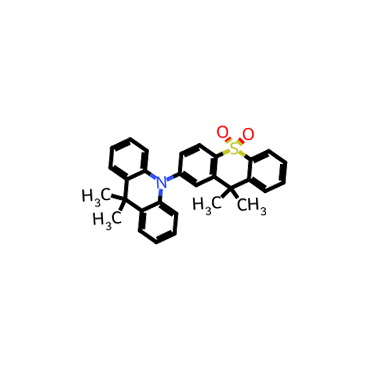 CC1(C)c2ccccc2N(c2ccc3c(c2)C(C)(C)c2ccccc2S3(=O)=O)c2ccccc21